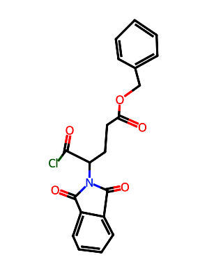 O=C(CCC(C(=O)Cl)N1C(=O)c2ccccc2C1=O)OCc1ccccc1